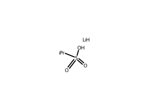 CC(C)S(=O)(=O)O.[LiH]